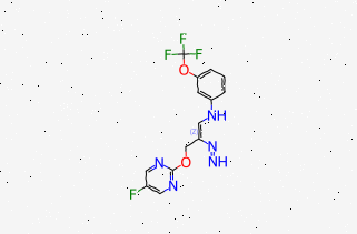 N=N/C(=C\Nc1cccc(OC(F)(F)F)c1)COc1ncc(F)cn1